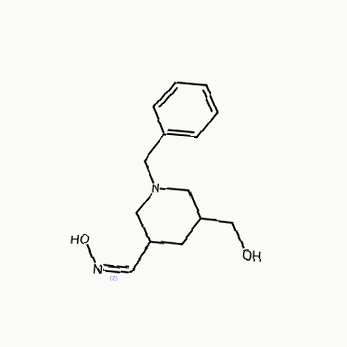 OCC1CC(/C=N\O)CN(Cc2ccccc2)C1